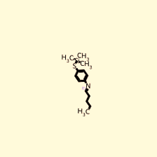 CCCC/C=N/c1ccc(S[Si](C)(C)C)cc1